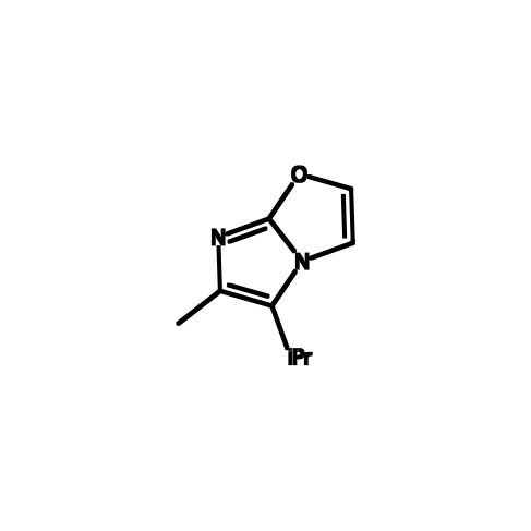 Cc1nc2occn2c1C(C)C